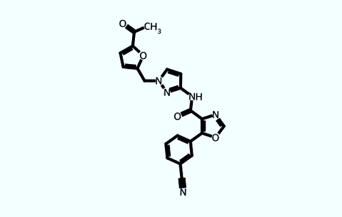 CC(=O)c1ccc(Cn2ccc(NC(=O)c3ncoc3-c3cccc(C#N)c3)n2)o1